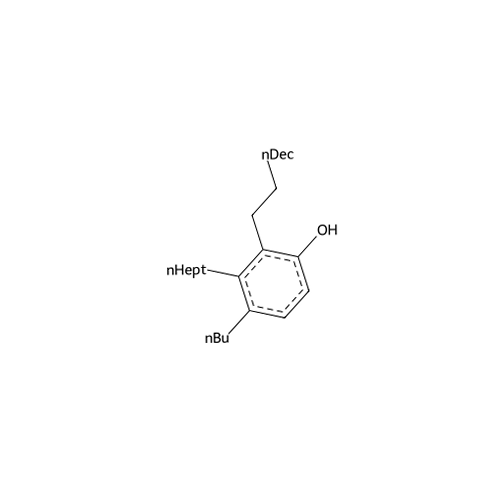 CCCCCCCCCCCCc1c(O)ccc(CCCC)c1CCCCCCC